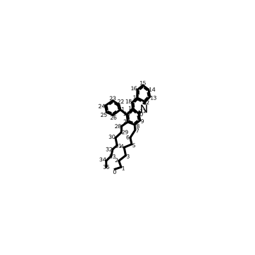 CCCCCCCCc1cc2nc3ccccc3cc2c(-c2ccccc2)c1CCCCCCCC